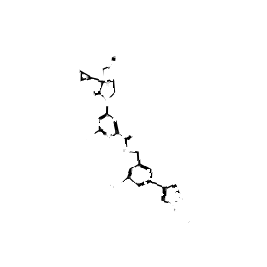 C=NC[C@@]1(C2CC2)CCN(c2cc(C)nc(C(=O)NCc3cc(C#N)cc(-c4cnn(C)c4)c3)c2)C1=O